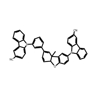 CC12C=C(c3cccc(-n4c5ccccc5c5cc(C#N)ccc54)c3)C=CC1Oc1ccc(-n3c4ccccc4c4cc(C#N)ccc43)cc12